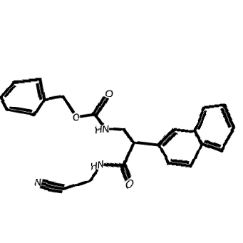 N#CCNC(=O)C(CNC(=O)OCc1ccccc1)c1ccc2ccccc2c1